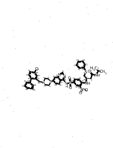 CC(C)NC(=O)C[C@H](CSc1ccccc1)Nc1ccc(S(=O)(=O)Nc2ncnc3cc(N4CCN(Cc5cc(Cl)ccc5-c5ccccc5)CC4)ccc23)cc1[N+](=O)[O-]